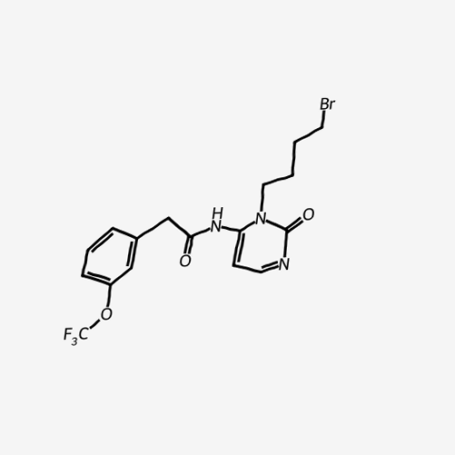 O=C(Cc1cccc(OC(F)(F)F)c1)Nc1ccnc(=O)n1CCCCBr